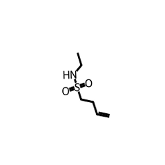 C=CCCS(=O)(=O)NCC